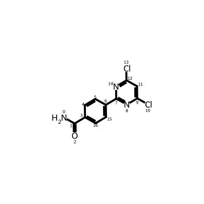 NC(=O)c1ccc(-c2nc(Cl)cc(Cl)n2)cc1